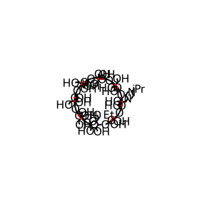 CCC1OC2OC3C(CO)OC(OC4C(CO)OC(OC5C(CO)OC(OC6C(CO)OC(OC7C(CO)OC(OC8C(CO)OC(OC9C(CN%10CCN(C(C)C)CC%10)OC(OC1C(O)C2O)C(O)C9O)C(O)C8O)C(O)C7O)C(O)C6O)C(O)C5O)C(O)C4O)C(O)C3O